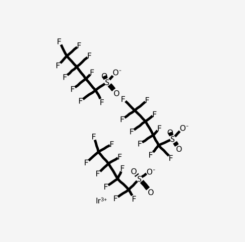 O=S(=O)([O-])C(F)(F)C(F)(F)C(F)(F)C(F)(F)F.O=S(=O)([O-])C(F)(F)C(F)(F)C(F)(F)C(F)(F)F.O=S(=O)([O-])C(F)(F)C(F)(F)C(F)(F)C(F)(F)F.[Ir+3]